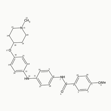 COc1ccc(C(=O)Nc2ccc(Nc3ccc(OC4CCN(C)CC4)cc3)cc2)cc1